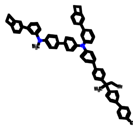 Cc1ccc(-c2ccc(C(C)(CC(C)C)c3ccc(-c4ccc(N(c5ccc(-c6ccc(N(C)c7cccc(-c8ccc9c(c8)CC9)c7)cc6)cc5)c5cccc(-c6ccc7c(c6)CC7)c5)cc4)cc3)cc2)cc1